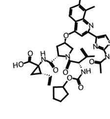 C=C[C@@H]1C[C@]1(NC(=O)[C@@H]1C[C@@H](Oc2cc(-c3csc(NC(C)=O)n3)nc3c(C)c(OC)ccc23)CN1C(=O)[C@@H](NC(=O)OC1CCCC1)C(=C)C)C(=O)O